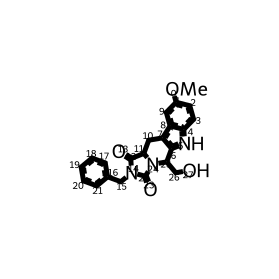 COc1ccc2[nH]c3c(c2c1)CC1C(=O)N(Cc2ccccc2)C(=O)N1C3CO